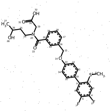 CSc1cc(F)c(F)cc1-c1ccc(OCc2cccc(C(=O)N(CCC(C)O)CC(=O)O)c2)cc1